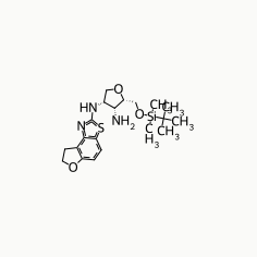 CC(C)(C)[Si](C)(C)OC[C@H]1OC[C@@H](Nc2nc3c4c(ccc3s2)OCC4)[C@H]1N